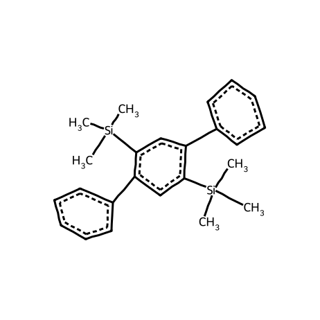 C[Si](C)(C)c1cc(-c2ccccc2)c([Si](C)(C)C)cc1-c1ccccc1